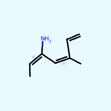 C=C/C(C)=C\C(N)=C/C